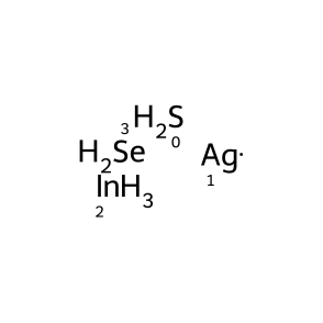 S.[Ag].[InH3].[SeH2]